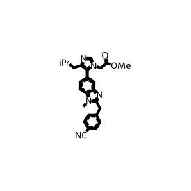 COC(=O)Cn1cnc(CC(C)C)c1-c1ccc2c(c1)nc(Cc1ccc(C#N)cc1)n2C